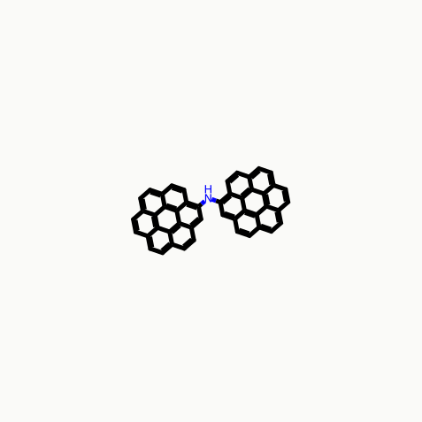 c1cc2ccc3ccc4c(Nc5cc6ccc7ccc8ccc9ccc%10ccc5c5c%10c9c8c7c65)cc5ccc6ccc1c1c2c3c4c5c61